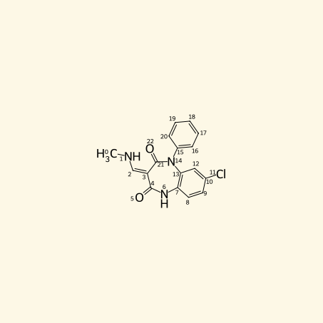 CNC=C1C(=O)Nc2ccc(Cl)cc2N(c2ccccc2)C1=O